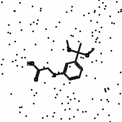 COC(C)(OC)c1cccc(SCC(=O)O)c1